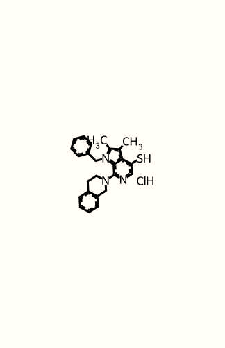 Cc1c(C)n(Cc2ccccc2)c2c(N3CCc4ccccc4C3)ncc(S)c12.Cl